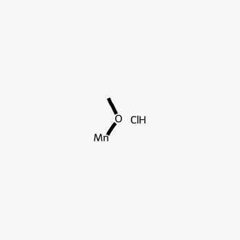 C[O][Mn].Cl